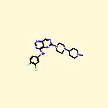 CN1CCC(N2CCN(c3ncc4ncnc(Nc5ccc(F)c(Cl)c5)c4n3)CC2)CC1